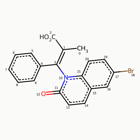 CC(C(=O)O)=C(c1ccccc1)n1c(=O)ccc2cc(Br)ccc21